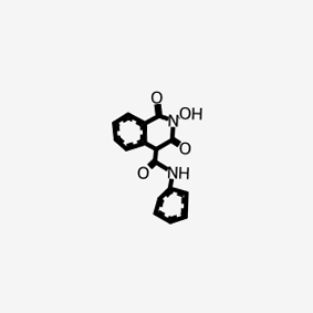 O=C(Nc1ccccc1)C1C(=O)N(O)C(=O)c2ccccc21